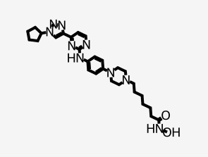 O=C(CCCCCCN1CCN(c2ccc(Nc3nccc(-c4cn(C5CCCC5)nn4)n3)cc2)CC1)NO